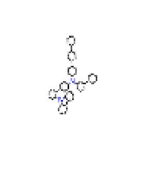 c1ccc(-c2ccc(-c3ccc(N(c4ccc(-c5ccccc5-n5c6ccccc6c6ccccc65)cc4)c4cccc(-c5ccccc5)c4)cc3)cc2)cc1